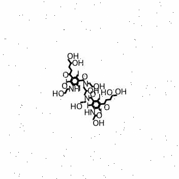 O=C(CO)Nc1c(I)c(C(=O)CCC(O)CO)c(I)c(C(=O)N(CCO)CC(O)CN(CCO)C(=O)c2c(I)c(NC(=O)CO)c(I)c(C(=O)CCC(O)CO)c2I)c1I